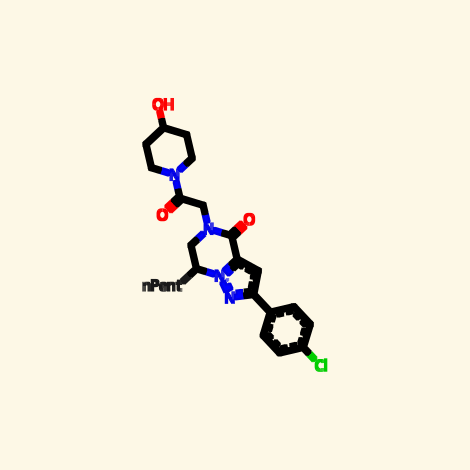 CCCCCC1CN(CC(=O)N2CCC(O)CC2)C(=O)c2cc(-c3ccc(Cl)cc3)nn21